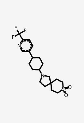 O=S1(=O)CCC2(CCN(C3CCC(c4ccc(C(F)(F)F)nc4)CC3)C2)CC1